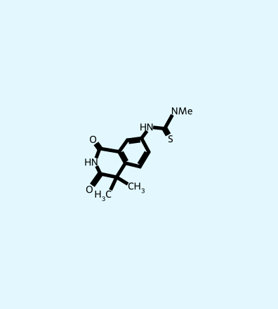 CNC(=S)Nc1ccc2c(c1)C(=O)NC(=O)C2(C)C